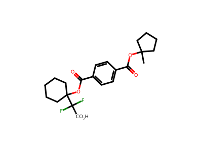 CC1(OC(=O)c2ccc(C(=O)OC3(C(F)(F)C(=O)O)CCCCC3)cc2)CCCC1